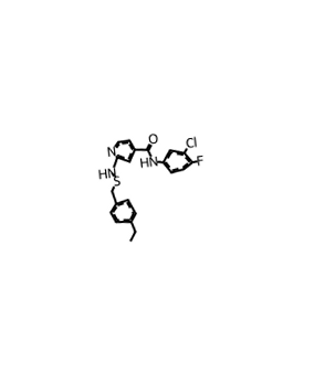 CCc1ccc(CSNc2cc(C(=O)Nc3ccc(F)c(Cl)c3)ccn2)cc1